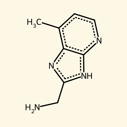 Cc1ccnc2[nH]c(CN)nc12